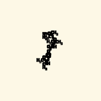 CBC(Cc1ccc(OCC(=O)NCCC(C)(C)OCCC(C)(C)OCCN)cc1)C(C)=O